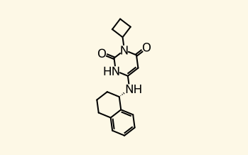 O=c1cc(N[C@H]2CCCc3ccccc32)[nH]c(=O)n1C1CCC1